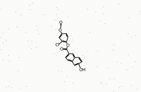 O=COc1ccc(OC(=O)c2ccc3cc(O)ccc3c2)c(Cl)c1